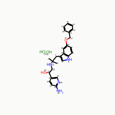 CC(C)(Cc1c[nH]c2ccc(OCc3ccccc3)cc12)NC[C@H](O)c1ccc(N)nc1.Cl.Cl